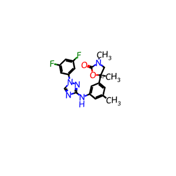 Cc1cc(Nc2ncn(-c3cc(F)cc(F)c3)n2)cc([C@@]2(C)CN(C)C(=O)O2)c1